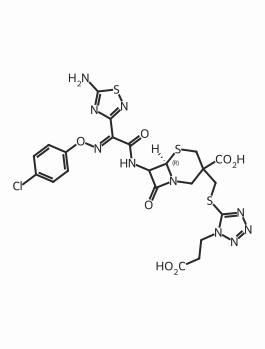 Nc1nc(C(=NOc2ccc(Cl)cc2)C(=O)NC2C(=O)N3CC(CSc4nnnn4CCC(=O)O)(C(=O)O)CS[C@H]23)ns1